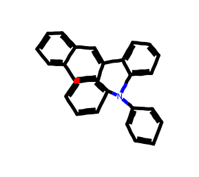 c1ccc(N(c2ccccc2)c2ccccc2-c2ccc3ccccc3c2)cc1